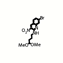 COC(CCCNc1nc2cc(Br)ccc2cc1[N+](=O)[O-])OC